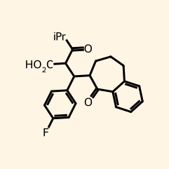 CC(C)C(=O)C(C(=O)O)C(c1ccc(F)cc1)C1CCCc2ccccc2C1=O